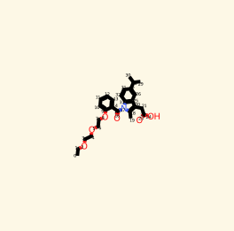 CCOCCOCCOc1ccccc1C(=O)n1c(C)c(CC(=O)O)c2cc(C(C)C)ccc21